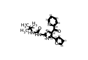 CC(C)(C)NC(=O)Nc1nc(-c2ccco2)c(C(=O)c2ccccn2)s1